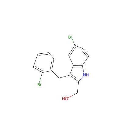 OCc1[nH]c2ccc(Br)cc2c1Cc1ccccc1Br